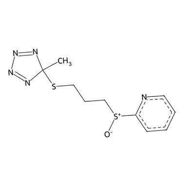 CC1(SCCC[S+]([O-])c2ccccn2)N=NN=N1